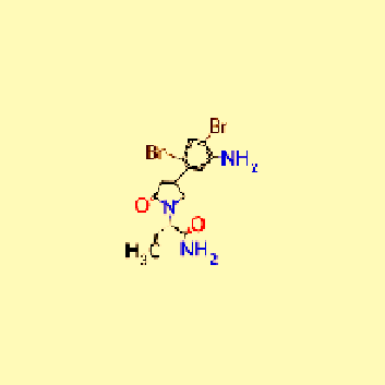 CC[C@@H](C(N)=O)N1CC(c2cc(N)c(Br)cc2Br)CC1=O